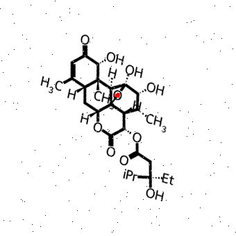 CC[C@@](O)(CC(=O)O[C@@H]1C(=O)O[C@@H]2C[C@@H]3C(C)=CC(=O)[C@H](O)[C@]3(C)[C@H]3[C@]4(O)OC[C@]32[C@@H]1[C@@H](C)[C@H]4O)C(C)C